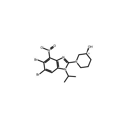 CC(C)n1c(N2CCC[C@H](O)C2)nc2c([N+](=O)[O-])c(Br)c(Br)cc21